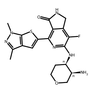 Cc1nn(C)c2sc(-c3nc(N[C@@H]4CCOC[C@@H]4N)c(F)c4c3C(=O)NC4)cc12